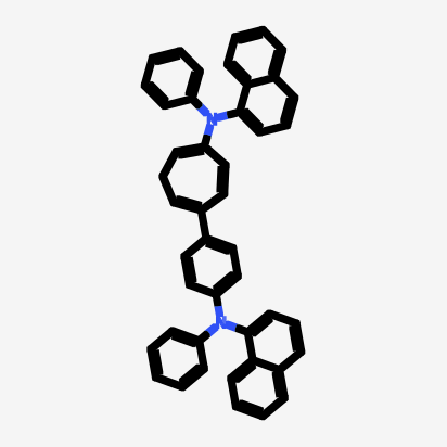 C1=CC(N(c2ccccc2)c2cccc3ccccc23)=CCC=C1c1ccc(N(c2ccccc2)c2cccc3ccccc23)cc1